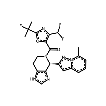 Cc1cccc2cc([C@H]3c4nc[nH]c4CCN3C(=O)c3oc(C(C)(C)F)nc3C(F)F)nn12